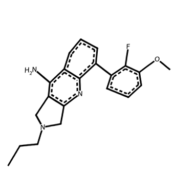 CCCN1Cc2nc3c(-c4cccc(OC)c4F)cccc3c(N)c2C1